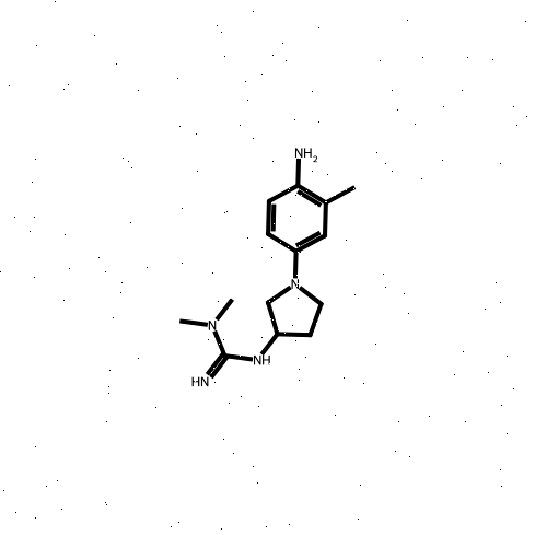 Cc1cc(N2CCC(NC(=N)N(C)C)C2)ccc1N